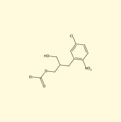 CCC(=O)OCC(CO)Cc1cc(Cl)ccc1[N+](=O)[O-]